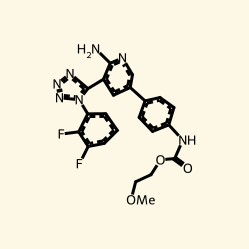 COCCOC(=O)Nc1ccc(-c2cnc(N)c(-c3nnnn3-c3cccc(F)c3F)c2)cc1